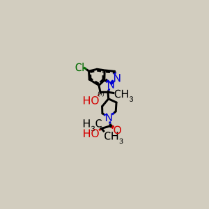 CC(C)(O)C(=O)N1CCC(C2(C)[C@H](O)c3cc(Cl)cc4cnn2c34)CC1